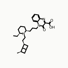 CC[C@H]1CCC[C@@H](CCCn2c(=O)c(C(=O)O)nc3ccccc32)N1CC[C@H]1CC2C[C@@H](C)C21